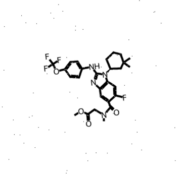 COC(=O)CN(C)C(=O)c1cc2nc(Nc3ccc(OC(F)(F)F)cc3)n([C@H]3CCCC(C)(C)C3)c2cc1F